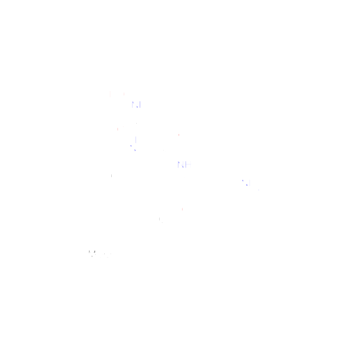 COc1cc2cc(c1)COc1ccc(CN)cc1NC(=O)C(CC(=O)NO)NCCC2